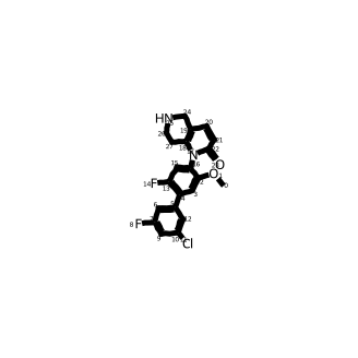 COc1cc(-c2cc(F)cc(Cl)c2)c(F)cc1-n1c2c(ccc1=O)CNCC2